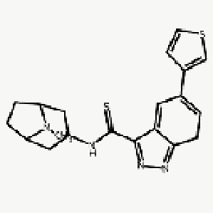 CN1C2CCC1CC(NC(=S)C1=NN=C3CC=C(c4ccsc4)C=C31)C2